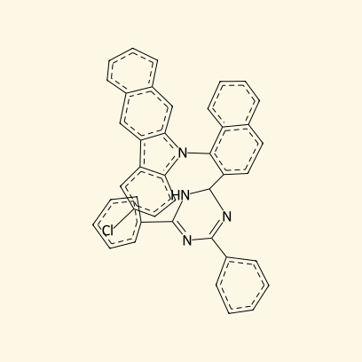 Clc1ccc2c(c1)c1cc3ccccc3cc1n2-c1c(C2N=C(c3ccccc3)N=C(c3ccccc3)N2)ccc2ccccc12